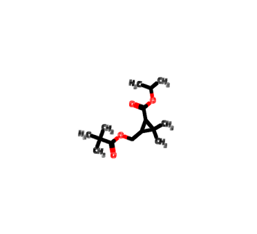 CC(C)OC(=O)C1C(COC(=O)C(C)(C)C)C1(C)C